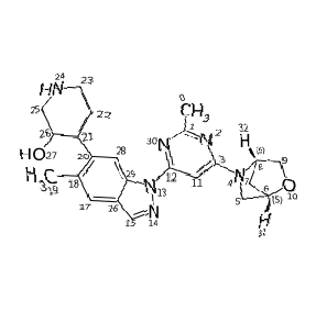 Cc1nc(N2C[C@@H]3C[C@H]2CO3)cc(-n2ncc3cc(C)c(C4CCNCC4O)cc32)n1